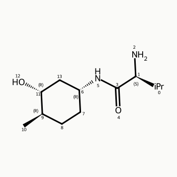 CC(C)[C@H](N)C(=O)N[C@@H]1CC[C@@H](C)[C@H](O)C1